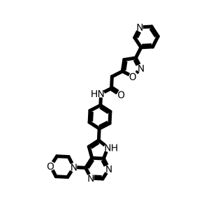 O=C(Cc1cc(-c2cccnc2)no1)Nc1ccc(-c2cc3c(N4CCOCC4)ncnc3[nH]2)cc1